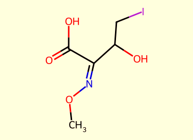 CON=C(C(=O)O)C(O)CI